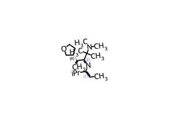 C=C(/C(=N\C(=C/C)C(C)C)C(C)(C)N(C)C)[C@H]1CCOC1